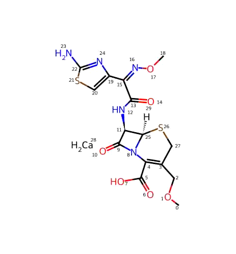 COCC1=C(C(=O)O)N2C(=O)[C@@H](NC(=O)/C(=N\OC)c3csc(N)n3)[C@H]2SC1.[CaH2]